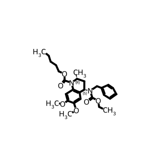 CCCCCOC(=O)N1c2cc(OC)c(OC)cc2[C@@H](N(Cc2ccccc2)C(=O)OCC)C[C@H]1C